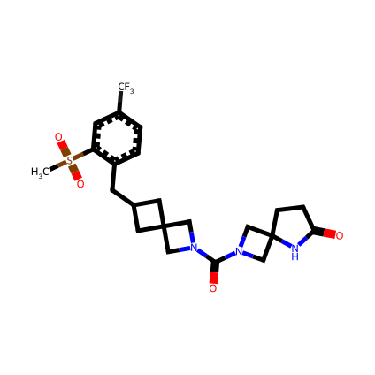 CS(=O)(=O)c1cc(C(F)(F)F)ccc1CC1CC2(C1)CN(C(=O)N1CC3(CCC(=O)N3)C1)C2